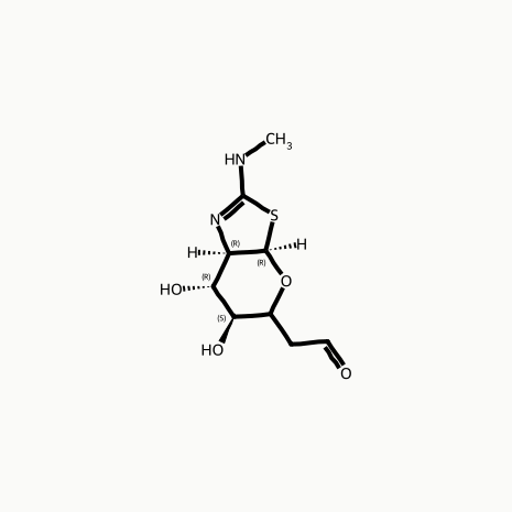 CNC1=N[C@@H]2[C@@H](O)[C@H](O)C(CC=O)O[C@@H]2S1